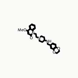 COc1cc(=O)n(CCN2CCC(NCc3ccc4c(c3)OCCO4)CC2)c2ccccc12